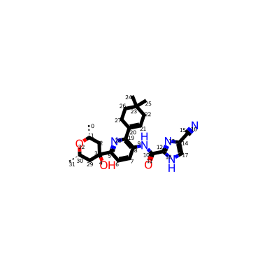 C[C@@H]1CC(O)(c2ccc(NC(=O)c3nc(C#N)c[nH]3)c(C3=CCC(C)(C)CC3)n2)C[C@H](C)O1